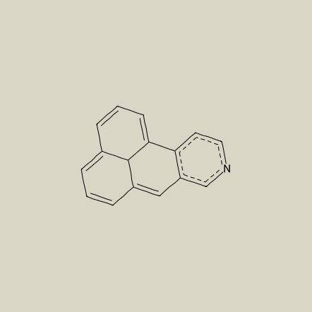 C1=CC2=CC=CC3=Cc4cnccc4C(=C1)C23